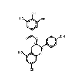 O=C(O[C@@H]1Cc2c(O)cc(O)cc2O[C@@H]1c1ccc(O)cc1)c1cc(O)c(O)c(O)c1